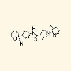 Cc1cccnc1N1CC=C(C(=O)Nc2ccc(C3(C#N)C=CC=CO3)cc2)C(C)C1